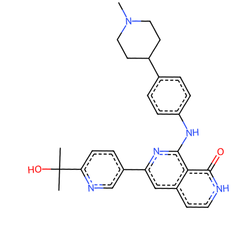 CN1CCC(c2ccc(Nc3nc(-c4ccc(C(C)(C)O)nc4)cc4cc[nH]c(=O)c34)cc2)CC1